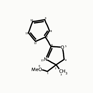 COCC1(C)COC(c2ccccc2)=N1